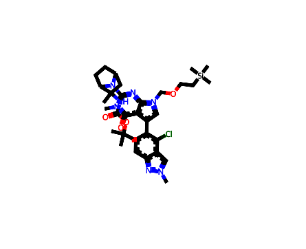 Cn1cc2c(Cl)c(-c3cn(COCC[Si](C)(C)C)c4nc(N5C6CCC5C(C)(NC(=O)OC(C)(C)C)C6)n(C)c(=O)c34)ccc2n1